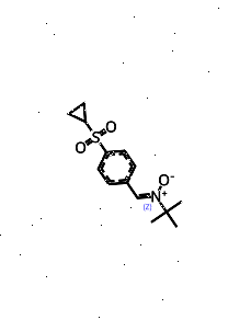 CC(C)(C)/[N+]([O-])=C/c1ccc(S(=O)(=O)C2CC2)cc1